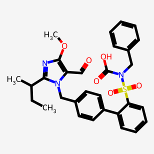 CCC(C)c1nc(OC)c(C=O)n1Cc1ccc(-c2ccccc2S(=O)(=O)N(Cc2ccccc2)C(=O)O)cc1